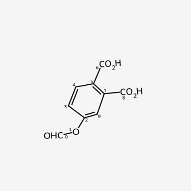 O=COc1ccc(C(=O)O)c(C(=O)O)c1